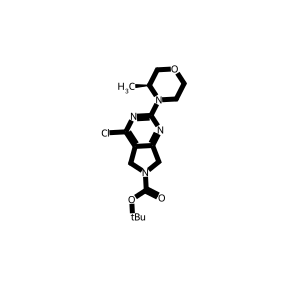 C[C@H]1COCCN1c1nc(Cl)c2c(n1)CN(C(=O)OC(C)(C)C)C2